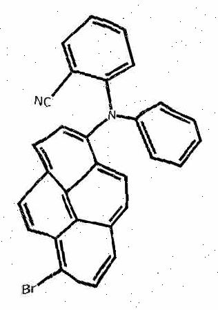 N#Cc1ccccc1N(c1ccccc1)c1ccc2ccc3c(Br)ccc4ccc1c2c43